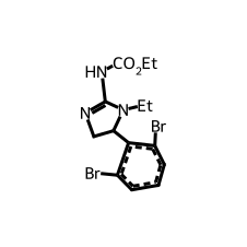 CCOC(=O)NC1=NCC(c2c(Br)cccc2Br)N1CC